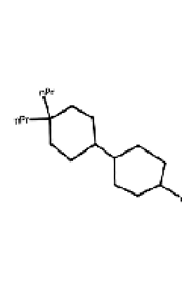 CCCC1CCC(C2CCC(CCC)(CCC)CC2)CC1